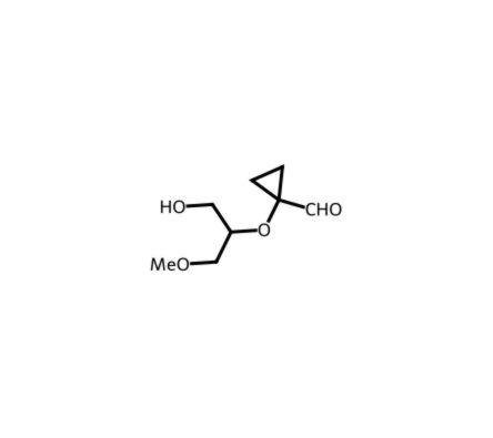 COCC(CO)OC1(C=O)CC1